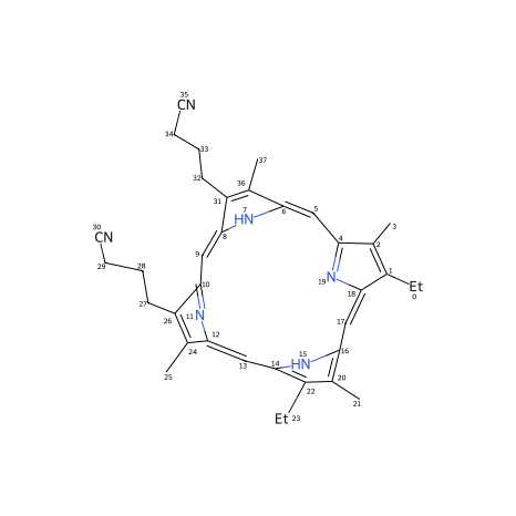 CCC1=C(C)c2cc3[nH]c(cc4nc(cc5[nH]c(cc1n2)c(C)c5CC)C(C)=C4CCCC#N)c(CCCC#N)c3C